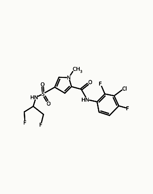 Cn1cc(S(=O)(=O)NC(CF)CF)cc1C(=O)Nc1ccc(F)c(Cl)c1F